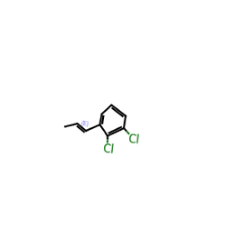 C/C=C/c1cccc(Cl)c1Cl